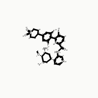 CO[C@@H]1[C@H](N)C[C@H](c2ccncc2NC(=O)c2ccc(F)c(-c3c(F)cc(C4CCS(=O)(=O)CC4)cc3F)n2)C[C@@H]1C